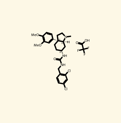 COc1ccc([C@@]23CC[C@@H](NC(=O)NCc4ccc(Cl)cc4Cl)C[C@@H]2N(C)CC3)cc1OC.O=C(O)C(F)(F)F